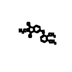 Cc1cccc(Sc2ccc3c(c2)C(=O)N(C)C3=O)c1C